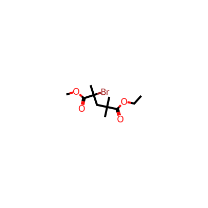 CCOC(=O)C(C)(C)CC(C)(Br)C(=O)OC